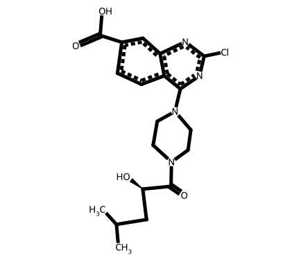 CC(C)C[C@@H](O)C(=O)N1CCN(c2nc(Cl)nc3cc(C(=O)O)ccc23)CC1